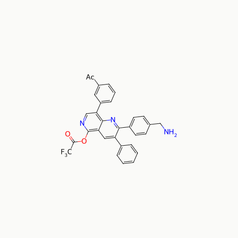 CC(=O)c1cccc(-c2cnc(OC(=O)C(F)(F)F)c3cc(-c4ccccc4)c(-c4ccc(CN)cc4)nc23)c1